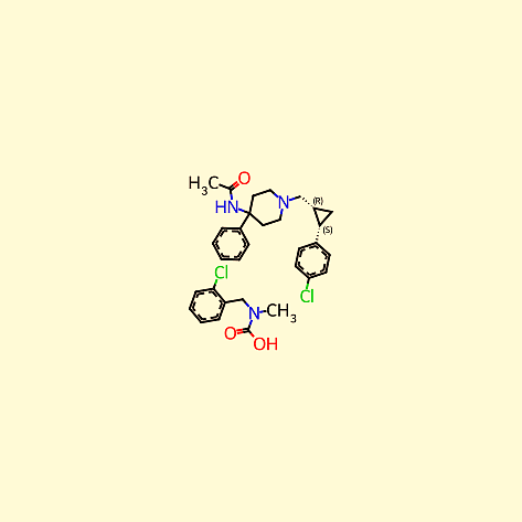 CC(=O)NC1(c2ccccc2)CCN(C[C@@H]2C[C@@H]2c2ccc(Cl)cc2)CC1.CN(Cc1ccccc1Cl)C(=O)O